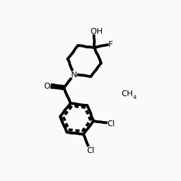 C.O=C(c1ccc(Cl)c(Cl)c1)N1CCC(O)(F)CC1